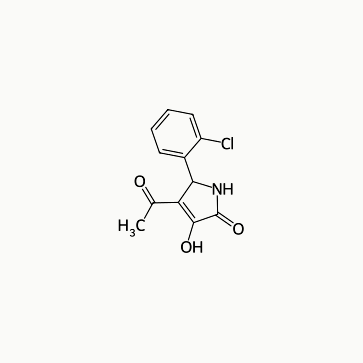 CC(=O)C1=C(O)C(=O)NC1c1ccccc1Cl